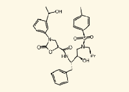 Cc1ccc(S(=O)(=O)N(CC(C)C)C[C@@H](O)[C@H](Cc2ccccc2)NC(=O)[C@@H]2CN(c3cccc(C(C)O)c3)C(=O)O2)cc1